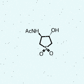 CC(=O)N[C@@H]1CS(=O)(=O)C[C@H]1O